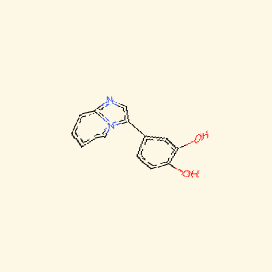 Oc1ccc(-c2cnc3ccccn23)cc1O